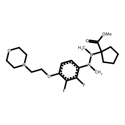 COC(=O)C1(N(C)N(C)c2ccc(OCCN3CCOCC3)c(F)c2F)CCCC1